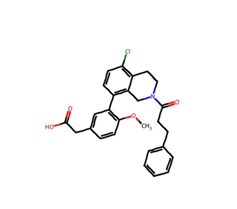 COc1ccc(CC(=O)O)cc1-c1ccc(Cl)c2c1CN(C(=O)CCc1ccccc1)CC2